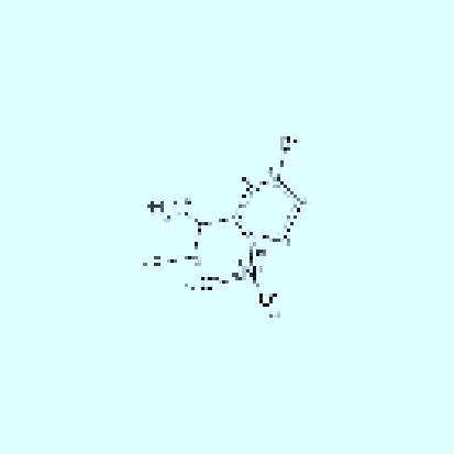 [CH2]C(CF)c1cc(Br)ccc1[N+](=O)[O-]